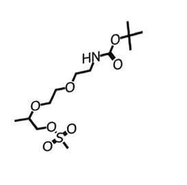 CC(COS(C)(=O)=O)OCCOCCNC(=O)OC(C)(C)C